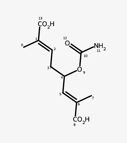 CC(=C[CH]C(C=C(C)C(=O)O)OC(N)=O)C(=O)O